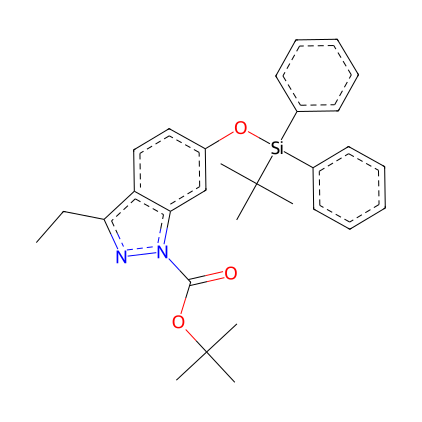 CCc1nn(C(=O)OC(C)(C)C)c2cc(O[Si](c3ccccc3)(c3ccccc3)C(C)(C)C)ccc12